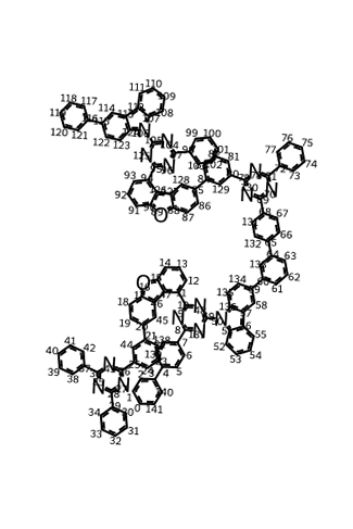 c1ccc(-c2ccc(-c3nc(-c4cccc5oc6ccc(-c7cccc(-c8nc(-c9ccccc9)nc(-c9ccccc9)n8)c7)cc6c45)nc(-n4c5ccccc5c5cc(-c6cccc(-c7ccc(-c8nc(-c9ccccc9)nc(-c9cccc(-c%10ccc%11oc%12cccc(-c%13nc(-c%14ccccc%14)nc(-n%14c%15ccccc%15c%15cc(-c%16ccccc%16)ccc%15%14)n%13)c%12c%11c%10)c9)n8)cc7)c6)ccc54)n3)cc2)cc1